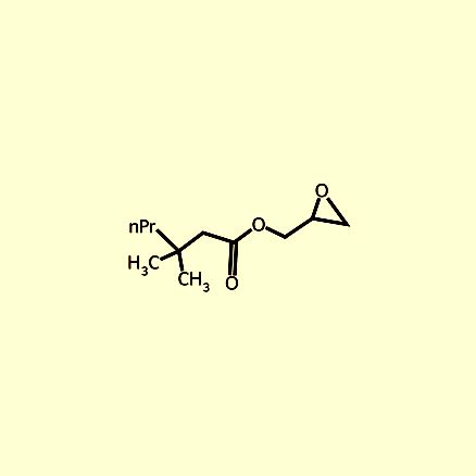 CCCC(C)(C)CC(=O)OCC1CO1